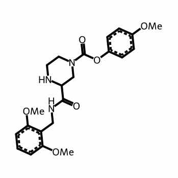 COc1ccc(OC(=O)N2CCNC(C(=O)NCc3c(OC)cccc3OC)C2)cc1